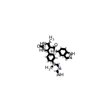 CC1=C(C(=O)Nc2ccc3[nH]ncc3c2)C(c2ccc(N(C)/C=N\C=N)cc2)NC(=O)N1